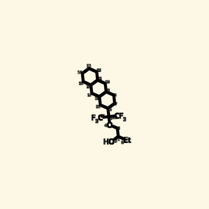 CCC(O)COC(C1CCC2CC3CCCCC3CC2C1)(C(F)(F)F)C(F)(F)F